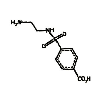 NCCNS(=O)(=O)c1ccc(C(=O)O)cc1